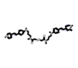 C=C/C=C(\C=C/N(C)C)/C=C/c1ccc(N(C)CCCN(C)C(=O)CSSCC(=O)N(C)CCCN(C)c2ccc(/C=C/c3cc[n+](C)cc3)cc2)cc1